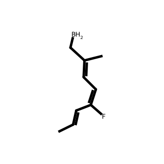 BC/C(C)=C/C=C(/F)C=CC